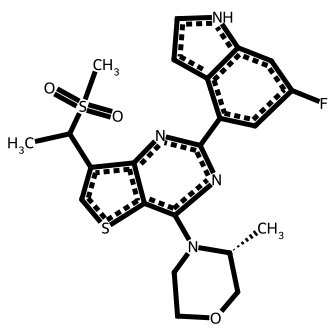 CC(c1csc2c(N3CCOC[C@H]3C)nc(-c3cc(F)cc4[nH]ccc34)nc12)S(C)(=O)=O